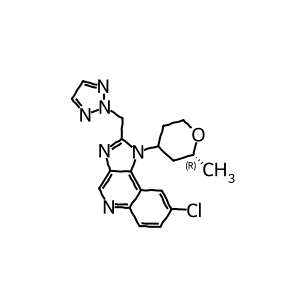 C[C@@H]1CC(n2c(Cn3nccn3)nc3cnc4ccc(Cl)cc4c32)CCO1